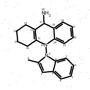 Cc1cc2ccccc2n1N1C2=C(CCCC2)C(N)c2ccccc21